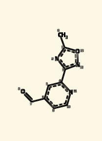 Cc1nc(-c2cc([C]=O)ccn2)no1